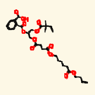 CCCCOC(=O)CCCCCOC(=O)CCC(=O)OCC(COC(=O)C(C)(C)CC)OC(=O)c1ccccc1C(=O)O